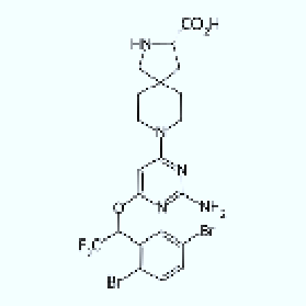 Nc1nc(OC(c2cc(Br)ccc2Br)C(F)(F)F)cc(N2CCC3(CC2)CN[C@H](C(=O)O)C3)n1